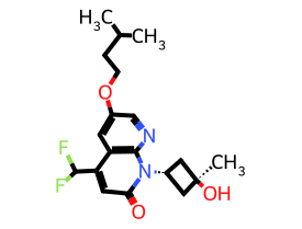 CC(C)CCOc1cnc2c(c1)c(C(F)F)cc(=O)n2[C@H]1C[C@](C)(O)C1